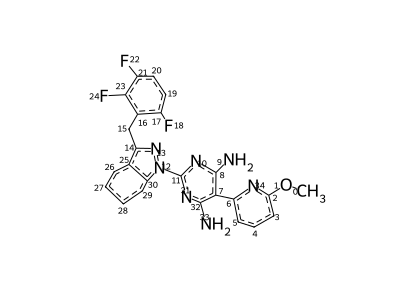 COc1cccc(-c2c(N)nc(-n3nc(Cc4c(F)ccc(F)c4F)c4ccccc43)nc2N)n1